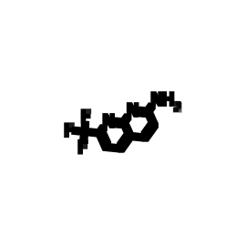 Nc1ccc2ccc(C(F)(F)F)nc2n1